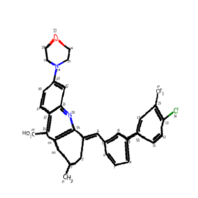 CC1C/C(=C\c2cccc(-c3ccc(Cl)c(C(F)(F)F)c3)c2)c2nc3cc(N4CCOCC4)ccc3c(C(=O)O)c2C1